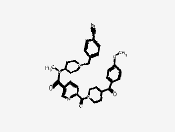 COc1ccc(C(=O)C2CCN(C(=O)c3ccc(C(=O)N(C)C4CCN(Cc5ccc(C#N)cc5)CC4)cn3)CC2)cc1